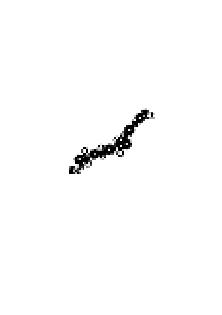 CCC(C)Oc1cccc2c1C(=O)N(c1ccc(S(=O)(=O)c3ccc(N4C(=O)c5cccc(Oc6ccc(C(C)(C)c7ccc(C(C)(C)CC)cc7)cc6)c5C4=O)cc3)cc1)C2=O